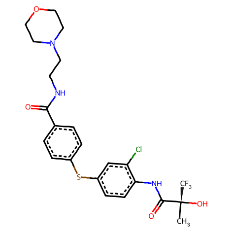 C[C@@](O)(C(=O)Nc1ccc(Sc2ccc(C(=O)NCCN3CCOCC3)cc2)cc1Cl)C(F)(F)F